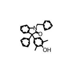 Cc1cc(C2(c3ccccc3)C(=O)N(Cc3ccccc3)c3ccccc32)cc(C)c1O